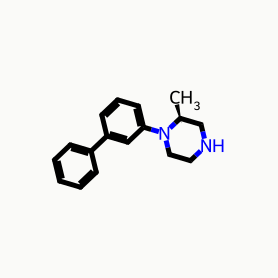 C[C@H]1CNCCN1c1cccc(-c2ccccc2)c1